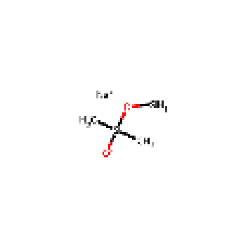 C[Si](C)([O-])O[SiH3].[Na+]